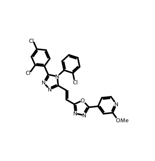 COc1cc(-c2nnc(C=Cc3nnc(-c4ccc(Cl)cc4Cl)n3-c3ccccc3Cl)o2)ccn1